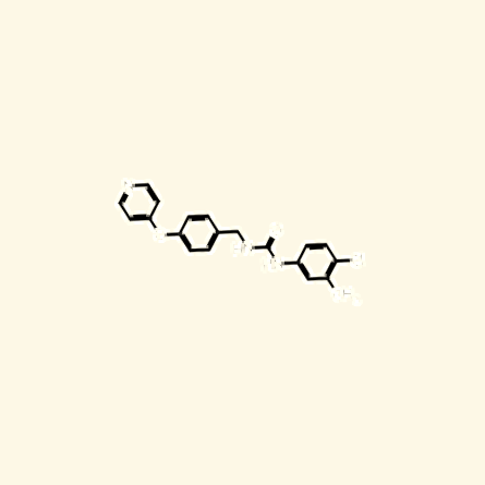 Cc1cc(NC(=O)NCc2ccc(Oc3ccncc3)cc2)ccc1Cl